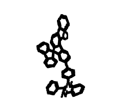 c1ccc(-c2nc3ccccc3n2-c2ccc(-c3ccc4c(c3)C3(c5ccccc5-c5ccccc53)c3ccc5c(oc6ccccc65)c3-4)cc2)cc1